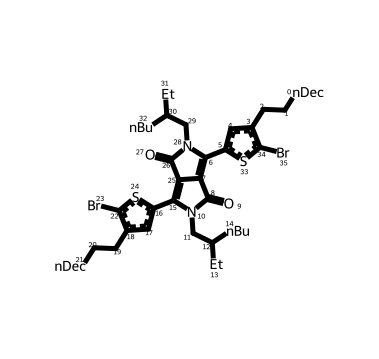 CCCCCCCCCCCCc1cc(C2=C3C(=O)N(CC(CC)CCCC)C(c4cc(CCCCCCCCCCCC)c(Br)s4)=C3C(=O)N2CC(CC)CCCC)sc1Br